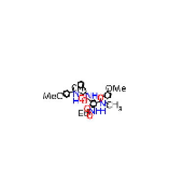 CCS(=O)(=O)Nc1cc(C(=O)N[C@@H](Cc2ccccc2)[C@H](O)CN[C@H](C)c2ccc(OC)cc2)cc(C(=O)N[C@H](C)c2ccc(OC)cc2)c1